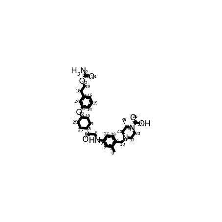 Cc1cc(NCC(=O)[C@H]2CC[C@H](Oc3cccc(CCOC(N)=O)c3)CC2)ccc1CN1CCN(C(=O)O)[C@@H](C)C1